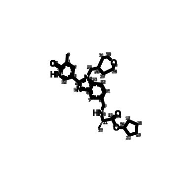 Cc1cc(-c2nc3cc(CN[C@@H](C)C(=O)OC4CCCC4)ccc3n2CC2CCOCC2)c[nH]c1=O